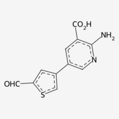 Nc1ncc(-c2csc(C=O)c2)cc1C(=O)O